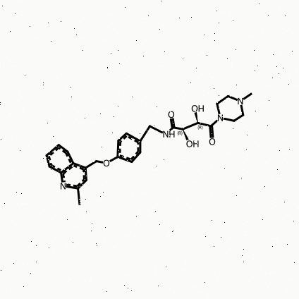 Cc1cc(COc2ccc(CNC(=O)[C@H](O)[C@@H](O)C(=O)N3CCN(C)CC3)cc2)c2ccccc2n1